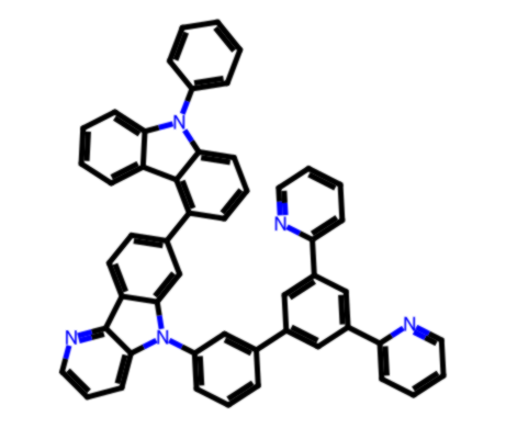 c1ccc(-n2c3ccccc3c3c(-c4ccc5c6ncccc6n(-c6cccc(-c7cc(-c8ccccn8)cc(-c8ccccn8)c7)c6)c5c4)cccc32)cc1